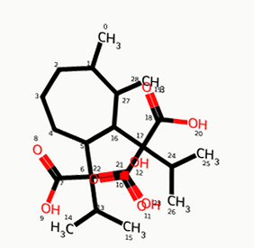 CC1CCCC(C(C(=O)O)(C(=O)O)C(C)C)C(C(C(=O)O)(C(=O)O)C(C)C)C1C